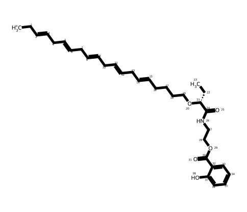 CCC=CCC=CCC=CCC=CCC=CCCCCO[C@H](CC)C(=O)NCCOC(=O)c1ccccc1O